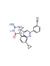 CN1C(=N)N[C@](C)(c2ccnc(-c3cccc(C#N)c3)c2)[C@@H](c2ccc(C3CC3)cc2)C1=O